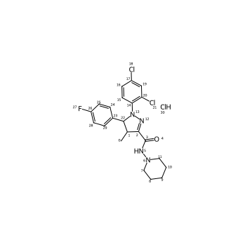 CC1C(C(=O)NN2CCCCC2)=NN(c2ccc(Cl)cc2Cl)C1c1ccc(F)cc1.Cl